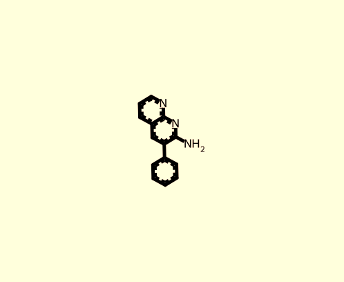 Nc1nc2ncccc2cc1-c1ccccc1